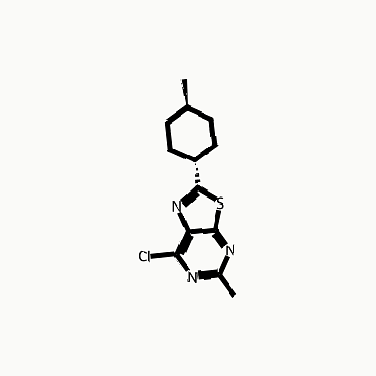 Cc1nc(Cl)c2nc([C@H]3CC[C@H](C)CC3)sc2n1